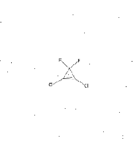 FC1(F)C(Cl)=C1Cl